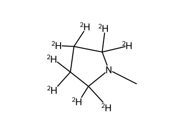 [2H]C1([2H])N(C)C([2H])([2H])C([2H])([2H])C1([2H])[2H]